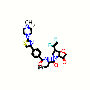 CC(C)CC(NC(=O)c1ccc(-c2csc(N3CCN(C)CC3)n2)cc1)C(=O)N1CC(C(F)=CF)C2OCC(=O)C21